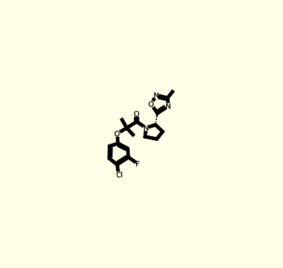 Cc1noc([C@@H]2CCCN2C(=O)C(C)(C)Oc2ccc(Cl)c(F)c2)n1